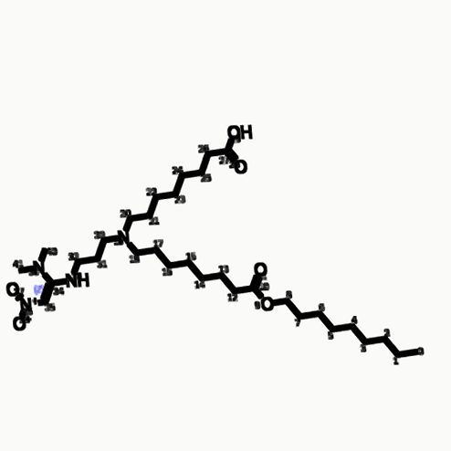 CCCCCCCCCOC(=O)CCCCCCCN(CCCCCCCC(=O)O)CCCN/C(=C/[N+](=O)[O-])N(C)C